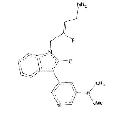 CSN(C)c1cncc(-c2c(Cl)n(C/C(F)=C/CN)c3ccccc23)c1